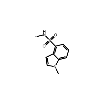 [CH2]NS(=O)(=O)c1cccc2c1ccn2C